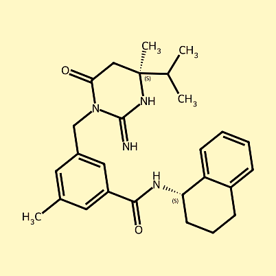 Cc1cc(CN2C(=N)N[C@](C)(C(C)C)CC2=O)cc(C(=O)N[C@H]2CCCc3ccccc32)c1